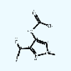 Cn1cc(OC(=O)Cl)c(C(F)F)n1